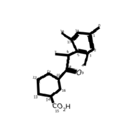 Cc1cc(C)c(C(C)C(=O)C2CCCC(C(=O)O)C2)c(C)c1